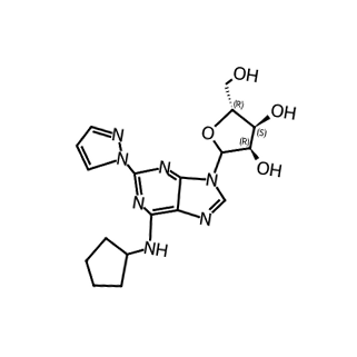 OC[C@H]1OC(n2cnc3c(NC4CCCC4)nc(-n4cccn4)nc32)[C@H](O)[C@@H]1O